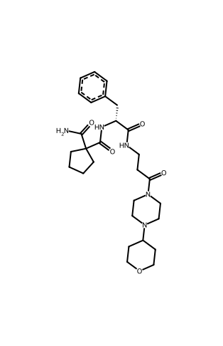 NC(=O)C1(C(=O)N[C@H](Cc2ccccc2)C(=O)NCCC(=O)N2CCN(C3CCOCC3)CC2)CCCC1